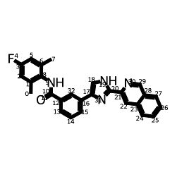 Cc1cc(F)cc(C)c1NC(=O)c1cccc(-c2c[nH]c(-c3cc4ccccc4cn3)n2)c1